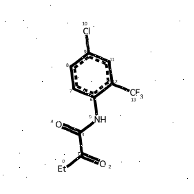 CCC(=O)C(=O)Nc1ccc(Cl)cc1C(F)(F)F